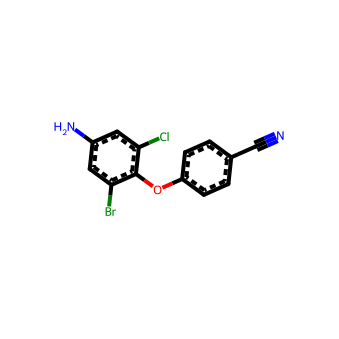 N#Cc1ccc(Oc2c(Cl)cc(N)cc2Br)cc1